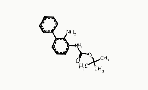 CC(C)(C)OC(=O)Nc1cccc(-c2ccccc2)c1N